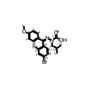 COc1ccc(C(=NN(CC(C)C)C(=O)O)c2ccc(Br)cc2F)cc1